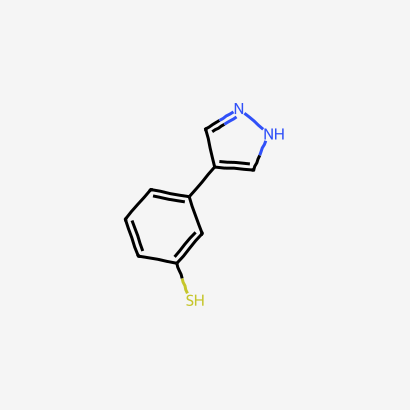 Sc1cccc(-c2cn[nH]c2)c1